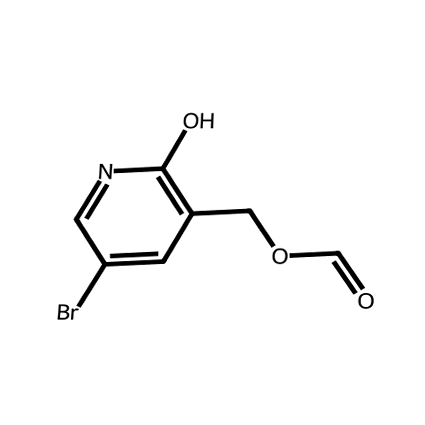 O=COCc1cc(Br)cnc1O